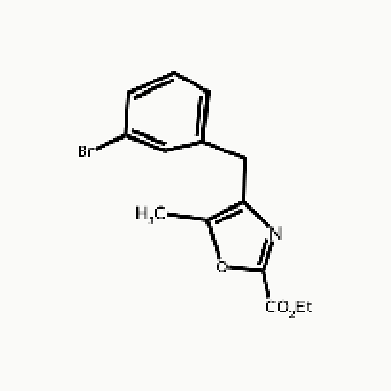 CCOC(=O)c1nc(Cc2cccc(Br)c2)c(C)o1